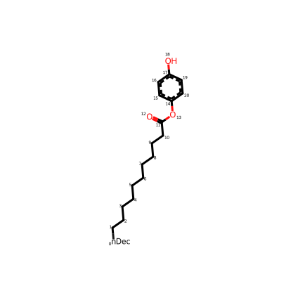 CCCCCCCCCCCCCCCCCCCCC(=O)Oc1ccc(O)cc1